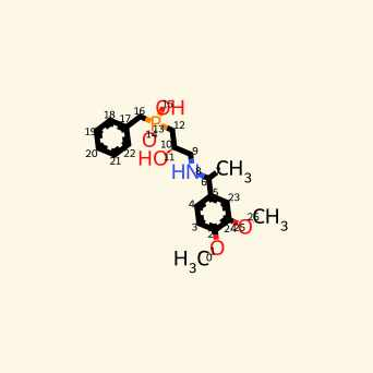 COc1ccc(C(C)NC[C@H](O)CP(=O)(O)Cc2ccccc2)cc1OC